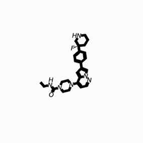 CCNC(=O)N1CCN(c2ccnn3cc(-c4ccc([C@]5(F)CCCNC5)cc4)cc23)CC1